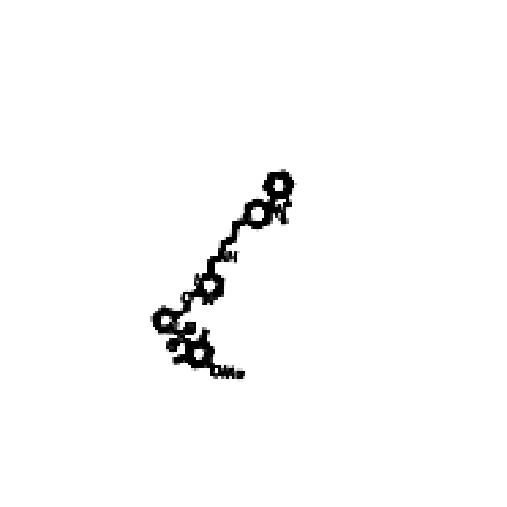 COc1cc(C)c(S(=O)(=O)N2CCC[C@H]2COc2nccc(CNCCCN3CCC(c4ccccc4)(N(C)C)CC3)n2)c(C)c1